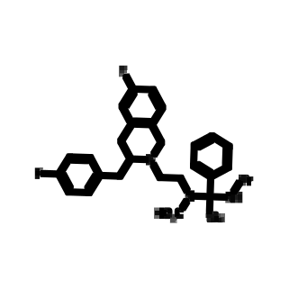 CC(C)NC(c1ccccc1)(N(CCN1Cc2ccc(F)cc2CC1Cc1ccc(F)cc1)C(=O)O)C(C)(C)C